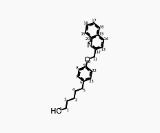 OCCCCCc1ccc(OCc2ccc3ccccc3n2)cc1